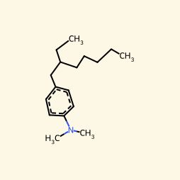 CCCCCC(CC)Cc1ccc(N(C)C)cc1